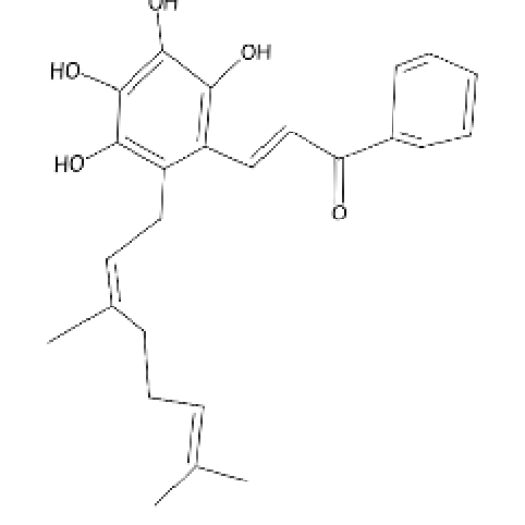 CC(C)=CCCC(C)=CCc1c(O)c(O)c(O)c(O)c1C=CC(=O)c1ccccc1